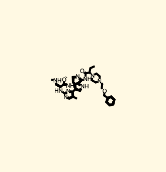 CCC(C(=O)Nc1nccc2c(-c3nc(N/C(=C/NC)C(=N)OC)ncc3C)c[nH]c12)N1CCN(CCOCc2ccccc2)CC1